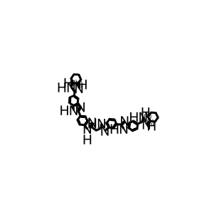 c1cc2[nH]c(-c3ccc4[nH]c(Cc5nc6cc(-c7nc8cc(C9=N[C@@H]%10CCCC[C@H]%10N9)ccc8[nH]7)ccc6[nH]5)nc4c3)nc2cc1C1=N[C@@H]2CCCC[C@H]2N1